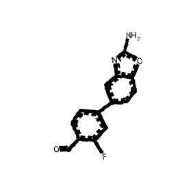 Nc1nc2cc(-c3ccc(C=O)c(F)c3)ccc2o1